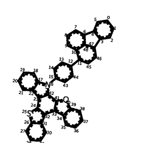 c1ccc2c(c1)-c1cccc3c(-c4ccc(-n5c6ccccc6c6c7sc8ccccc8c7c7c8ccccc8oc7c65)cc4)ccc-2c13